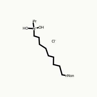 CCCCCCCCCCCCCCCCCC[N+](O)(O)C(C)C.[Cl-]